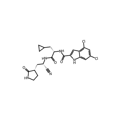 N#C[C@H](C[C@@H]1CCNC1=O)NC(=O)[C@H](CC1CC1)NC(=O)c1cc2c(Cl)cc(Cl)cc2[nH]1